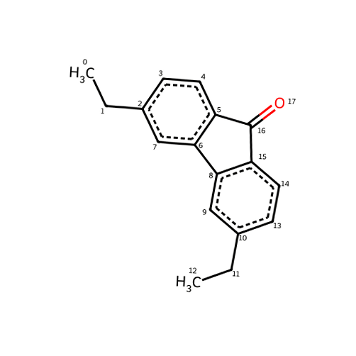 CCc1ccc2c(c1)-c1cc(CC)ccc1C2=O